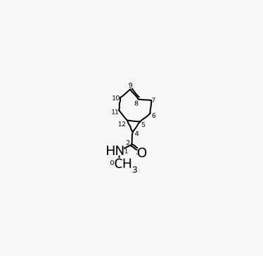 CNC(=O)C1C2CC/C=C/CCC21